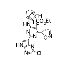 CCOC(=O)[C@@H]1C2CCC(CC2)[C@H]1Nc1nc(-c2c[nH]c3ncc(Cl)nc23)nc(-c2ccno2)c1F